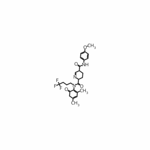 COc1ccc(NC(=O)C2C=NC(C(=O)N(CCCC(F)(F)F)C3=C(C)C=C(C)CC3=O)CC2)cc1